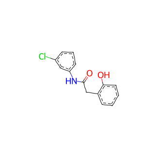 O=C(Cc1ccccc1O)Nc1cccc(Cl)c1